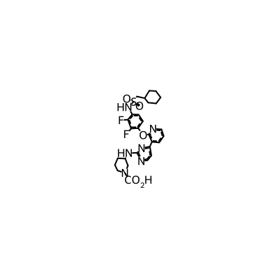 O=C(O)N1CCC[C@H](Nc2nccc(-c3cccnc3Oc3ccc(NS(=O)(=O)CC4CCCCC4)c(F)c3F)n2)C1